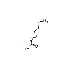 [CH2]C(=O)OOCCCC